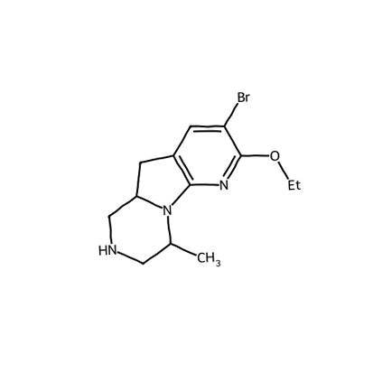 CCOc1nc2c(cc1Br)CC1CNCC(C)N21